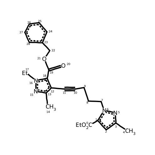 CCOC(=O)c1cc(C)nn1CCCC#Cc1c(C)nn(CC)c1C(=O)OCc1ccccc1